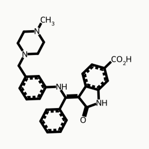 CN1CCN(Cc2cccc(NC(=C3C(=O)Nc4cc(C(=O)O)ccc43)c3ccccc3)c2)CC1